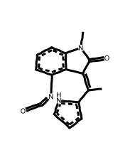 CC(=C1C(=O)N(C)c2cccc(N=C=O)c21)c1ccc[nH]1